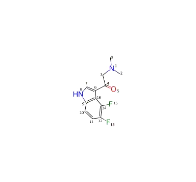 CN(C)CC(=O)c1c[nH]c2ccc(F)c(F)c12